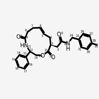 O=C(C[C@@H]1C/C=C/CCC(=O)NC(c2ccccc2)COC1=O)NCc1ccc(Cl)cc1